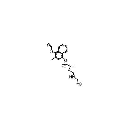 Cc1cc(OC(=O)NCCNCC=O)c2ccccc2c1OC=O